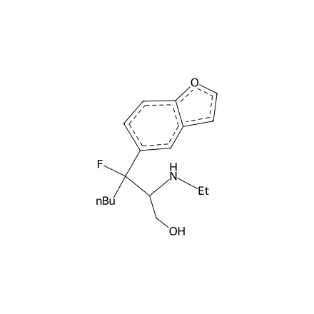 CCCCC(F)(c1ccc2occc2c1)C(CO)NCC